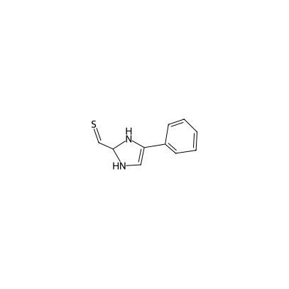 S=CC1NC=C(c2ccccc2)N1